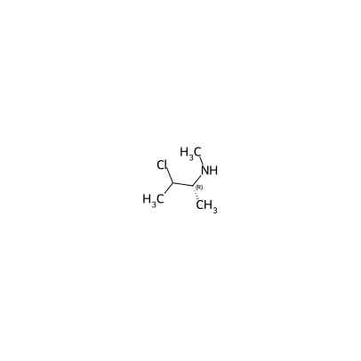 CN[C@H](C)C(C)Cl